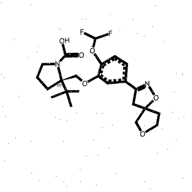 CC(C)(C)[C@]1(COc2cc(C3=NOC4(CCOC4)C3)ccc2OC(F)F)CCCN1C(=O)O